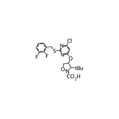 CC(C)(C)C1C(Oc2cc(Cl)nc(SCc3cccc(F)c3F)n2)CON1C(=O)O